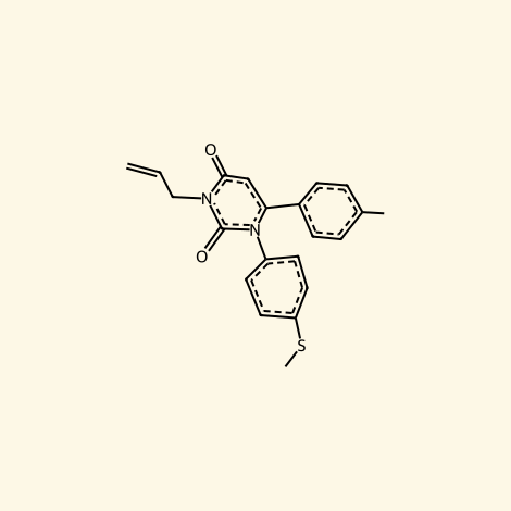 C=CCn1c(=O)cc(-c2ccc(C)cc2)n(-c2ccc(SC)cc2)c1=O